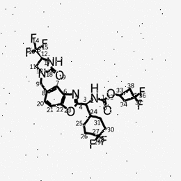 O=C(N[C@H](c1nc2cc(CN3C[C@@H](C(F)(F)F)NC3=O)ccc2o1)C1CCC(F)(F)CC1)OC1CC(F)(F)C1